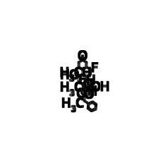 C[C@@H](c1ccccc1)[C@@H]1O[C@@H]2C[C@H]3[C@@H]4C[C@H](F)C5=CC(=O)C=C[C@]5(C)C4(F)[C@@H](O)C[C@]3(C)[C@]2(C(=O)CO)O1